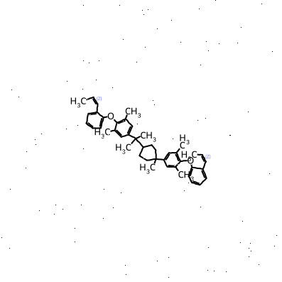 C/C=C\c1ccccc1Oc1c(C)cc(C2(C)CCC(C(C)(C)c3cc(C)c(Oc4ccccc4/C=C\C)c(C)c3)CC2)cc1C